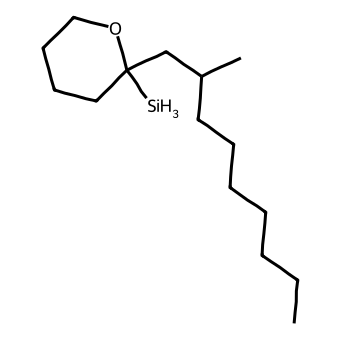 CCCCCCCC(C)CC1([SiH3])CCCCO1